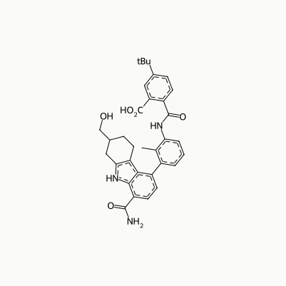 Cc1c(NC(=O)c2ccc(C(C)(C)C)cc2C(=O)O)cccc1-c1ccc(C(N)=O)c2[nH]c3c(c12)CCC(CO)C3